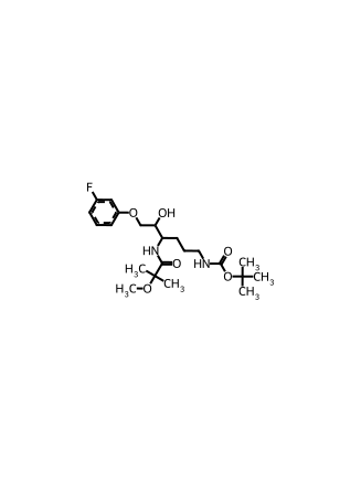 COC(C)(C)C(=O)NC(CCCNC(=O)OC(C)(C)C)C(O)COc1cccc(F)c1